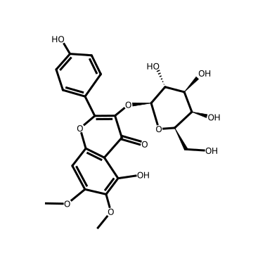 COc1cc2oc(-c3ccc(O)cc3)c(O[C@@H]3O[C@H](CO)[C@H](O)[C@H](O)[C@H]3O)c(=O)c2c(O)c1OC